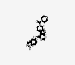 O=C(N1CCOCC1)N1CCc2c(sc3ncnc(Nc4ccc5[nH]ncc5c4)c23)C1